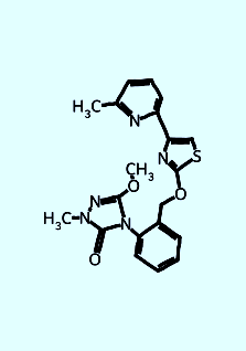 COc1nn(C)c(=O)n1-c1ccccc1COc1nc(-c2cccc(C)n2)cs1